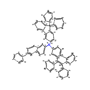 c1ccc(-c2ccc3cc(N(c4ccc5c(c4)-c4ccccc4C5(c4ccccc4)c4ccccc4)c4ccc5c(c4)c(-c4ccccc4)c(-c4ccccc4)c4ccccc45)ccc3c2)cc1